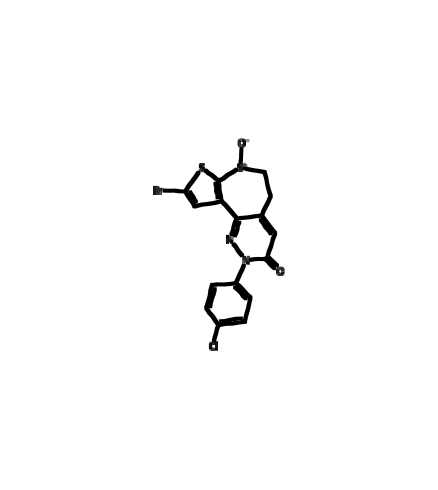 O=c1cc2c(nn1-c1ccc(Cl)cc1)-c1cc(Br)sc1[S+]([O-])CC2